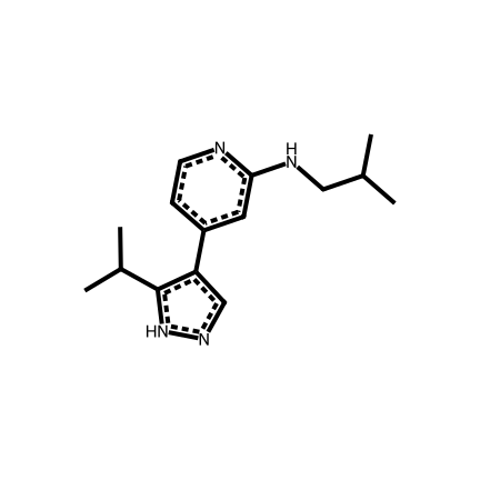 CC(C)CNc1cc(-c2cn[nH]c2C(C)C)ccn1